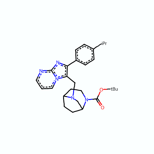 CC(C)c1ccc(-c2nc3ncccn3c2CN2CC3CCC2CCN3C(=O)OC(C)(C)C)cc1